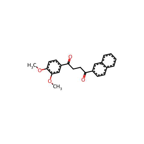 COc1ccc(C(=O)CCC(=O)c2ccc3ccccc3c2)cc1OC